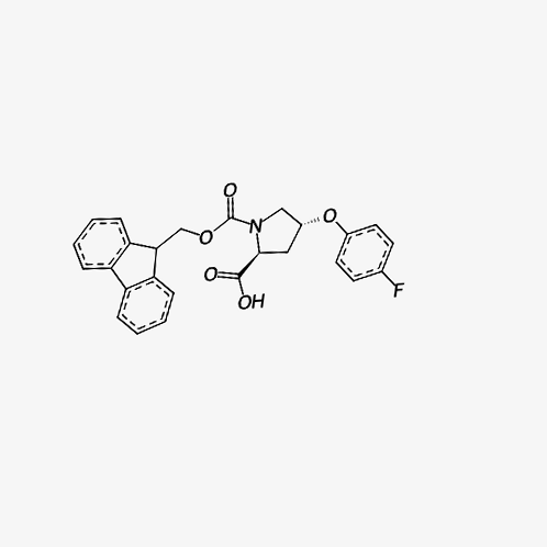 O=C(O)[C@@H]1C[C@@H](Oc2ccc(F)cc2)CN1C(=O)OCC1c2ccccc2-c2ccccc21